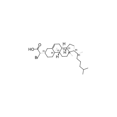 CC(C)CCC[C@@H](C)[C@H]1CC[C@H]2[C@@H]3CC=C4C[C@@H](C(Br)C(=O)O)CC[C@]4(C)[C@H]3CC[C@]12C